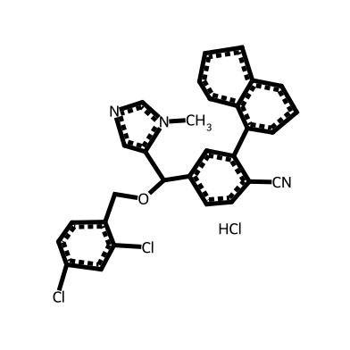 Cl.Cn1cncc1C(OCc1ccc(Cl)cc1Cl)c1ccc(C#N)c(-c2cccc3ccccc23)c1